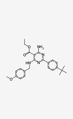 CCOC(=O)c1c(N)nc(-c2ccc(C(C)(C)C)cc2)nc1NCc1ccc(OC)cc1